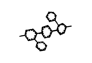 Cc1ccc(-c2ccc(-c3ccc(C)cc3-c3ccccc3)cc2)c(-c2ccccc2)c1